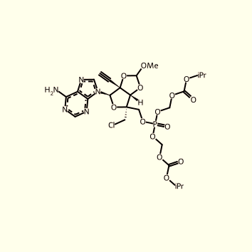 C#C[C@@]12OC(OC)O[C@@H]1[C@@](CCl)(COP(=O)(OCOC(=O)OC(C)C)OCOC(=O)OC(C)C)O[C@H]2n1cnc2c(N)ncnc21